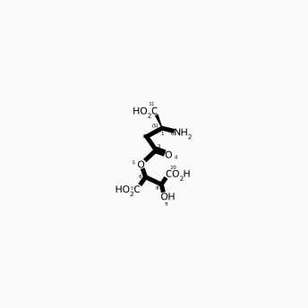 N[C@@H](CC(=O)OC(C(=O)O)C(O)C(=O)O)C(=O)O